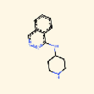 c1ccc2c(NC3CCNCC3)nncc2c1